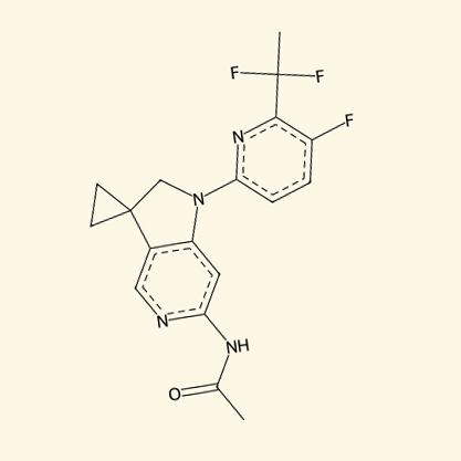 CC(=O)Nc1cc2c(cn1)C1(CC1)CN2c1ccc(F)c(C(C)(F)F)n1